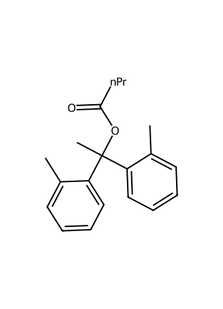 CCCC(=O)OC(C)(c1ccccc1C)c1ccccc1C